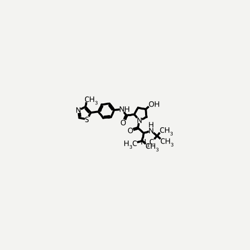 Cc1ncsc1-c1ccc(NC(=O)C2CC(O)CN2C(=O)C(NC(C)(C)C)C(C)C)cc1